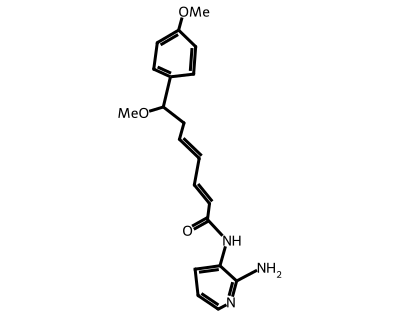 COc1ccc(C(CC=CC=CC(=O)Nc2cccnc2N)OC)cc1